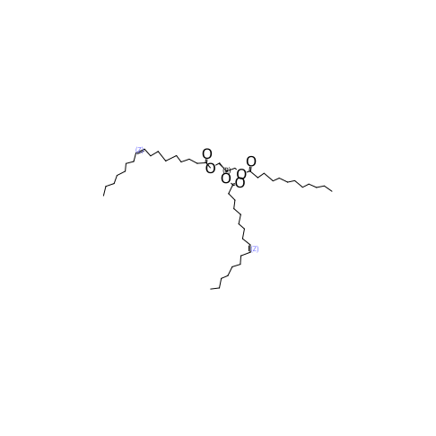 CCCCCCC/C=C\CCCCCCCC(=O)OC[C@@H](COC(=O)CCCCCCCCCCC)OC(=O)CCCCCCC/C=C\CCCCCCC